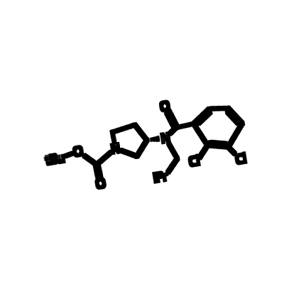 CC(C)CN(C(=O)c1cccc(Cl)c1Cl)[C@H]1CCN(C(=O)OC(C)(C)C)C1